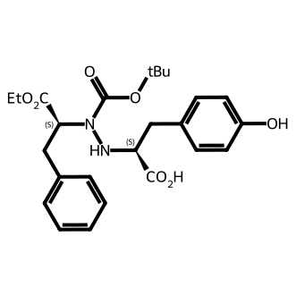 CCOC(=O)[C@H](Cc1ccccc1)N(N[C@@H](Cc1ccc(O)cc1)C(=O)O)C(=O)OC(C)(C)C